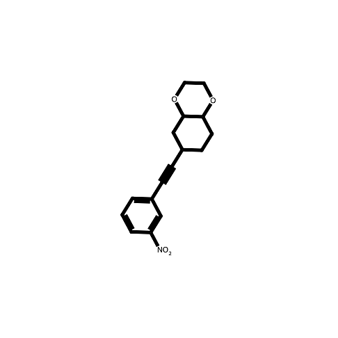 O=[N+]([O-])c1cccc(C#CC2CCC3OCCOC3C2)c1